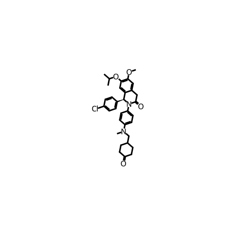 COc1cc2c(cc1OC(C)C)[C@H](c1ccc(Cl)cc1)N(c1ccc(N(C)CC3CCC(=O)CC3)cc1)C(=O)C2